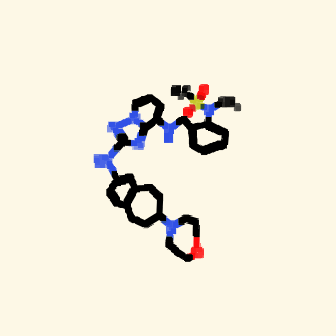 CN(c1ccccc1CNc1cccn2nc(Nc3ccc4c(c3)CCC(N3CCOCC3)CC4)nc12)S(C)(=O)=O